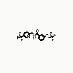 O=C(NCc1ccc(C(F)(F)F)cn1)c1cccc(OCC(F)(F)F)c1